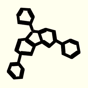 [c]1cccc(-n2c3ccc(-c4ccccc4)cc3c3cc(-c4ccccc4)ccc32)c1